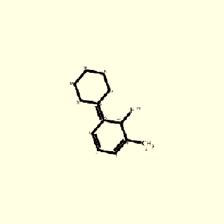 CC1=CC=CC(=C2CCCCC2)C1F